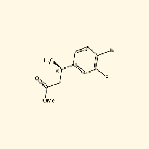 COC(=O)C[C@@H](C)c1ccc(Br)c(F)c1